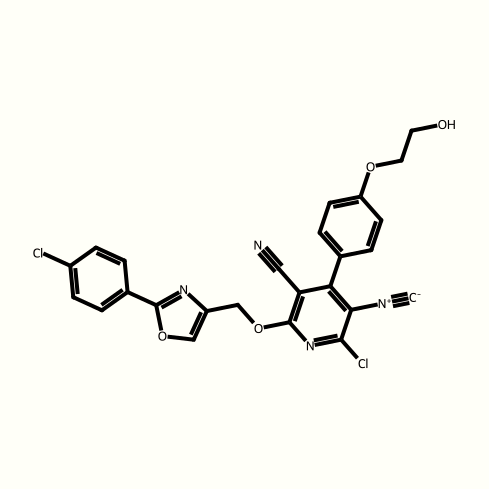 [C-]#[N+]c1c(Cl)nc(OCc2coc(-c3ccc(Cl)cc3)n2)c(C#N)c1-c1ccc(OCCO)cc1